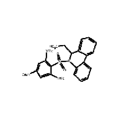 CNc1cc(NC)c(S(=O)(=O)N2c3ccccc3-c3ccccc3C2CC(=O)O)c(NC)c1